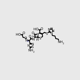 NCCCCn1nnnc1SCC1=C(C(=O)O)N2C(=O)C(NC(=O)/C(=N\OCC(=O)O)c3nsc(N)n3)[C@H]2SC1